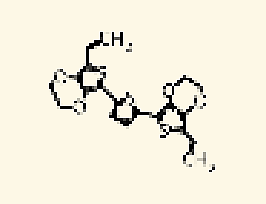 C=Cc1sc(-c2ccc(-c3sc(C=C)c4c3OCCO4)s2)c2c1OCCO2